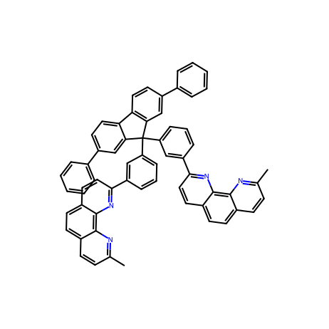 Cc1ccc2ccc3ccc(-c4cccc(C5(c6cccc(-c7ccc8ccc9ccc(C)nc9c8n7)c6)c6cc(-c7ccccc7)ccc6-c6ccc(-c7ccccc7)cc65)c4)nc3c2n1